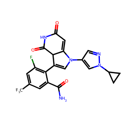 NC(=O)c1cc(C(F)(F)F)cc(F)c1C1=CN(c2cnn(C3CC3)c2)C2=CC(=O)NC(=O)C12